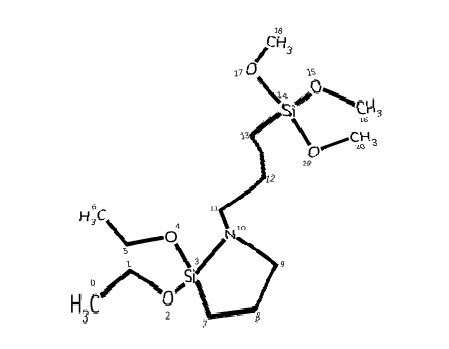 CCO[Si]1(OCC)CCCN1CCC[Si](OC)(OC)OC